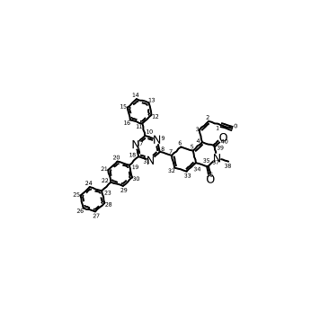 C#C/C=C\C1=C2CC(c3nc(-c4ccccc4)nc(-c4ccc(-c5ccccc5)cc4)n3)=CC=C2C(=O)N(C)C1=O